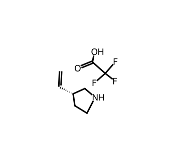 C=C[C@H]1CCNC1.O=C(O)C(F)(F)F